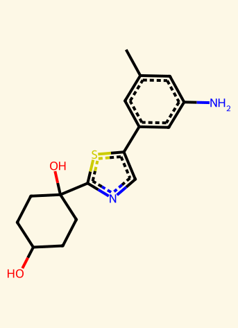 Cc1cc(N)cc(-c2cnc(C3(O)CCC(O)CC3)s2)c1